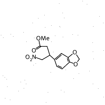 COC(=O)CC(C[N+](=O)[O-])c1ccc2c(c1)OCO2